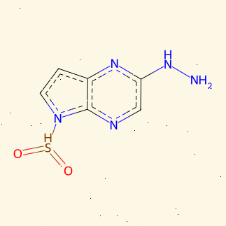 NNc1cnc2c(ccn2[SH](=O)=O)n1